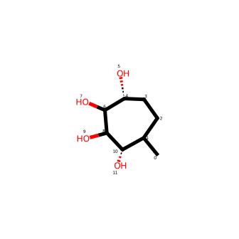 CC1CC[C@@H](O)C(O)C(O)[C@H]1O